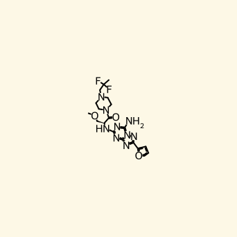 COC[C@H](Nc1nc(N)n2nc(-c3ccco3)nc2n1)C(=O)N1CCN(CC(C)(F)F)CC1